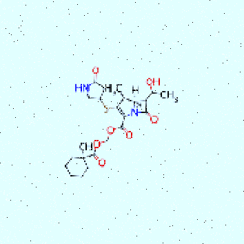 CC(O)C1C(=O)N2C(C(=O)OCOC(=O)C3(C)CCCCC3)=C(SC3CNC(=O)C3)C(C)[C@@H]12